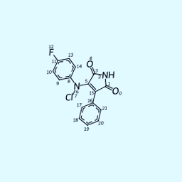 O=C1NC(=O)C(N(Cl)c2ccc(F)cc2)=C1c1ccccc1